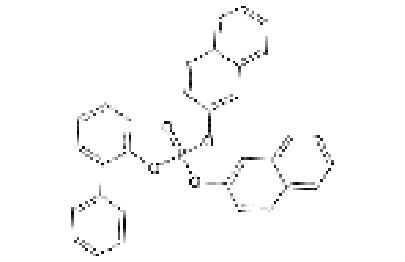 O=P(Oc1ccc2ccccc2c1)(Oc1ccc2ccccc2c1)Oc1ccccc1-c1ccccc1